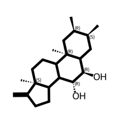 C=C1CCC2C3C(CC[C@]12C)[C@@]1(C)C[C@@H](C)[C@@H](C)CC1[C@@H](O)[C@@H]3O